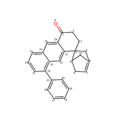 O=C1CCC2(CC3=CCC2C3)c2cc3c(-c4ccccc4)cccc3cc21